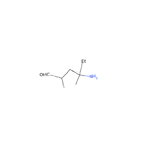 CCC(C)(N)CC(C)C=O